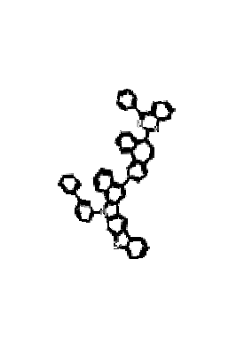 c1ccc(-c2cccc(-n3c4cc5sc6ccccc6c5cc4c4cc(-c5ccc6c(c5)-c5ccccc5C(c5nc(-c7ccccc7)c7ccccc7n5)CC6)c5ccccc5c43)c2)cc1